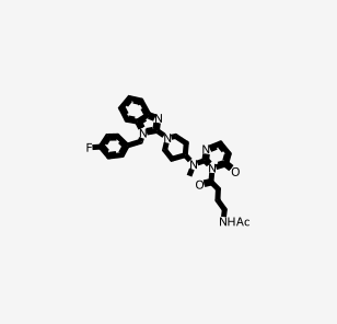 CC(=O)NCCCC(=O)n1c(N(C)C2CCN(c3nc4ccccc4n3Cc3ccc(F)cc3)CC2)nccc1=O